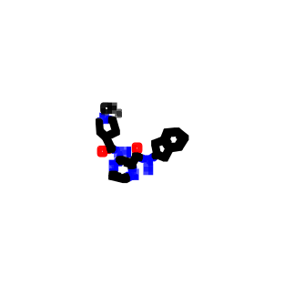 CN1CCC(C(=O)Nc2nccnc2C(=O)NC2Cc3ccccc3C2)CC1